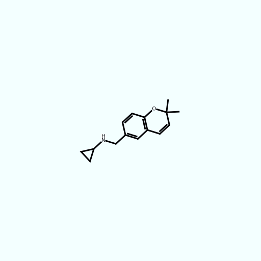 CC1(C)C=Cc2cc(CNC3CC3)ccc2O1